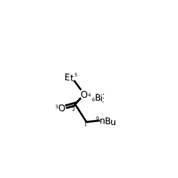 CCCCCC(=O)OCC.[Bi]